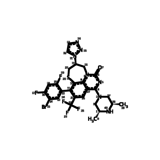 C[C@@H]1CN(c2nc(=O)n3c4c(c(-c5cc(Br)c(F)cc5F)c(C(F)(F)F)cc24)SC[C@@H](n2ccnn2)C3)C[C@H](C)N1